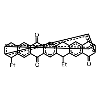 CCC1c2cc3c4cc2Cc2cc5c(cc21)C(=O)c1cc2c(cc1C5=O)Cc1cc(c(cc1C2CC)C3=O)C4=O